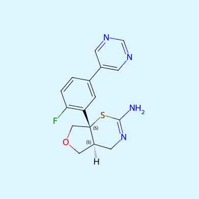 NC1=NC[C@H]2COC[C@]2(c2cc(-c3cncnc3)ccc2F)S1